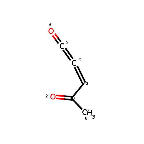 CC(=O)C=C=C=O